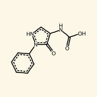 O=C(O)Nc1c[nH]n(-c2ccccc2)c1=O